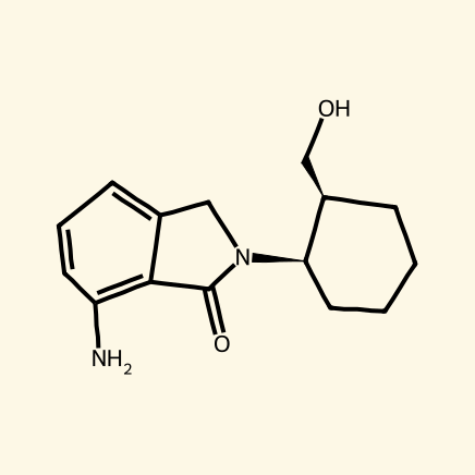 Nc1cccc2c1C(=O)N([C@@H]1CCCC[C@@H]1CO)C2